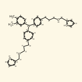 Cc1ccc(N(c2ccc(CCCOCc3ccco3)cc2)c2ccc(CCCOCc3ccco3)cc2)cc1C